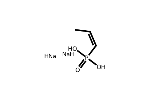 C/C=C\P(=O)(O)O.[NaH].[NaH]